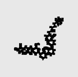 COc1nc(-c2cccc(-c3cccc(-c4ccn5c(=O)c(CNCCCC(F)(F)C(F)(F)F)cnc5c4)c3Cl)c2Cl)ccc1CN(CC1CCC(=O)N1)C(=O)O